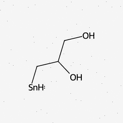 OCC(O)[CH2][SnH]